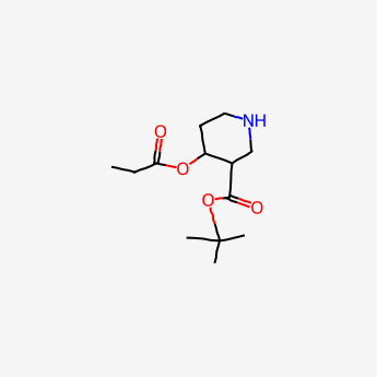 CCC(=O)OC1CCNCC1C(=O)OC(C)(C)C